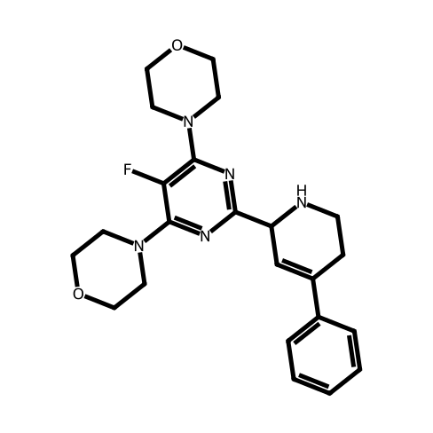 Fc1c(N2CCOCC2)nc(C2C=C(c3ccccc3)CCN2)nc1N1CCOCC1